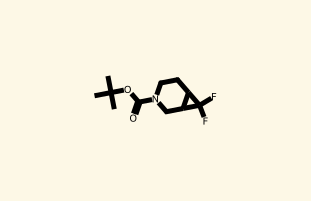 CC(C)(C)OC(=O)N1CCC2C(C1)C2(F)F